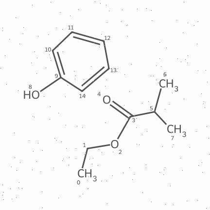 CCOC(=O)C(C)C.Oc1ccccc1